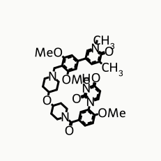 COc1ccc(C(=O)N2CCC(OC3CCN(Cc4c(OC)cc(-c5cc(C)c(=O)n(C)c5)cc4OC)CC3)CC2)cc1-n1ccc(=O)[nH]c1=O